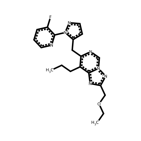 CCCc1c(Cc2ccnn2-c2ncccc2F)ncn2nc(COCC)nc12